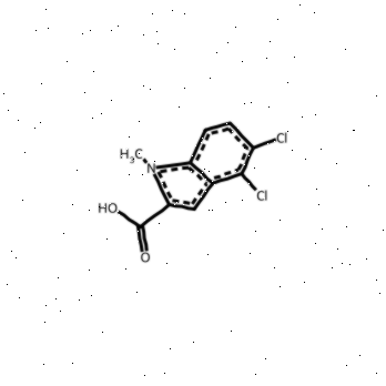 Cn1c(C(=O)O)cc2c(Cl)c(Cl)ccc21